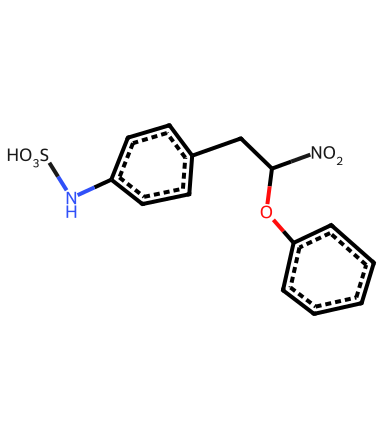 O=[N+]([O-])C(Cc1ccc(NS(=O)(=O)O)cc1)Oc1ccccc1